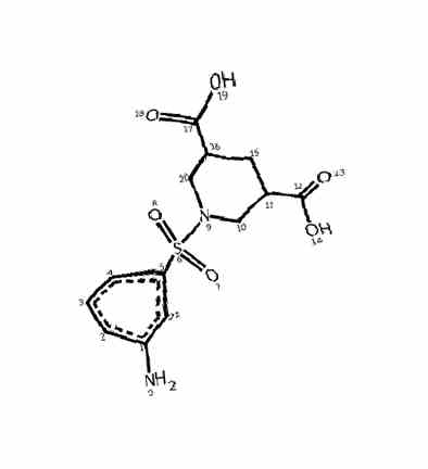 Nc1cccc(S(=O)(=O)N2CC(C(=O)O)CC(C(=O)O)C2)c1